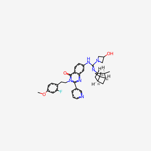 COc1ccc(CCn2c(-c3cccnc3)nc3cc(NC(=N[C@H]4C[C@@H]5C[C@H]([C@@H]4C)C5(C)C)N4CC(O)C4)ccc3c2=O)c(F)c1